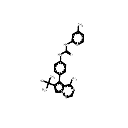 Cc1ccnc(NC(=O)Nc2ccc(-c3c(C(C)(C)O)cn4ncnc(N)c34)cc2)c1